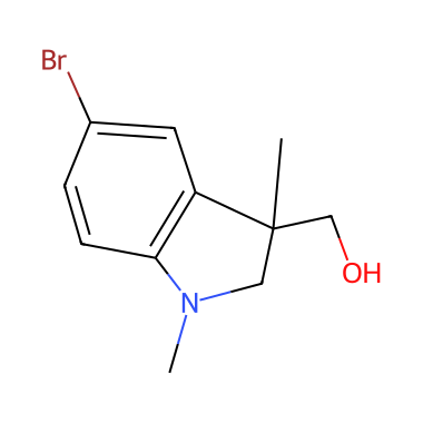 CN1CC(C)(CO)c2cc(Br)ccc21